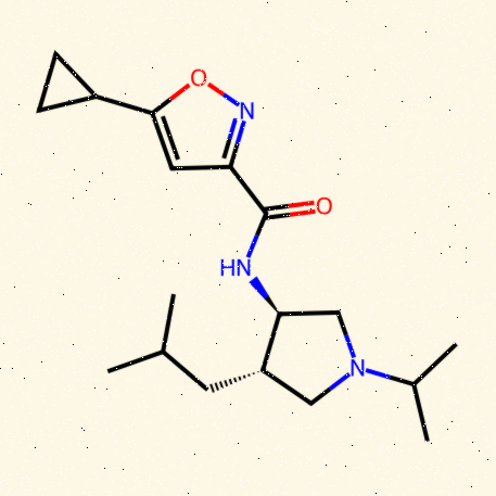 CC(C)C[C@H]1CN(C(C)C)C[C@@H]1NC(=O)c1cc(C2CC2)on1